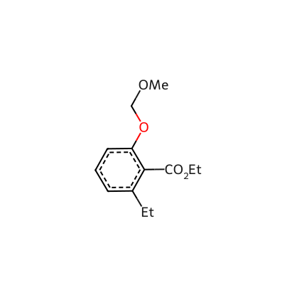 CCOC(=O)c1c(CC)cccc1OCOC